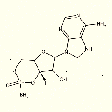 BP1(=O)OCC2OC(N3CNc4c(N)ncnc43)C(O)[C@@H]2O1